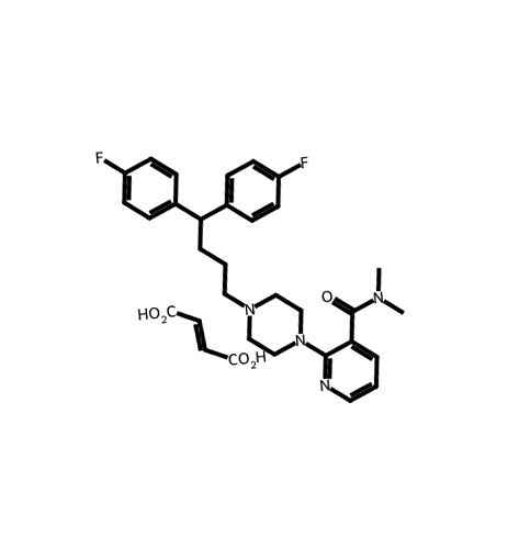 CN(C)C(=O)c1cccnc1N1CCN(CCCC(c2ccc(F)cc2)c2ccc(F)cc2)CC1.O=C(O)C=CC(=O)O